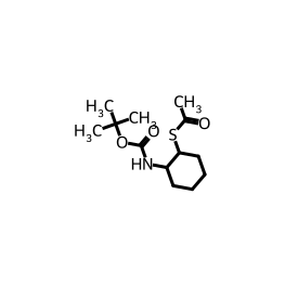 CC(=O)SC1CCCCC1NC(=O)OC(C)(C)C